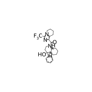 O=C(c1nc(C(F)(F)F)n2c1CCCC2)N1CCC(O)(c2ccccc2)[C@H]2CCCC[C@H]21